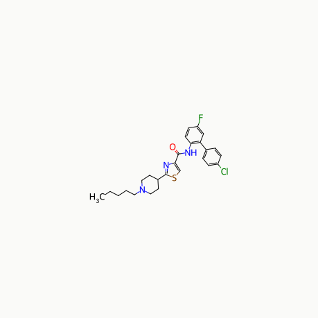 CCCCCN1CCC(c2nc(C(=O)Nc3ccc(F)cc3-c3ccc(Cl)cc3)cs2)CC1